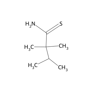 CC(C)C(C)(C)C(N)=S